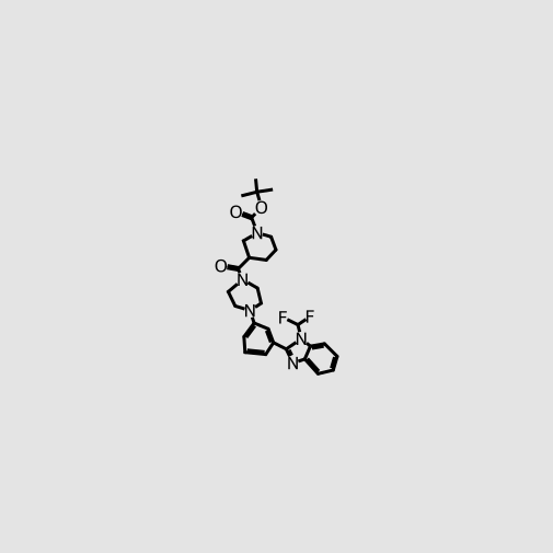 CC(C)(C)OC(=O)N1CCCC(C(=O)N2CCN(c3cccc(-c4nc5ccccc5n4C(F)F)c3)CC2)C1